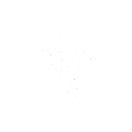 c1ccc(-c2cc(-c3ccccc3)nc(-c3cccc(-n4c5cc6ccn(-c7ccccc7)c6cc5c5ccc6c(c7ccccc7n6-c6ccccc6)c54)c3)n2)cc1